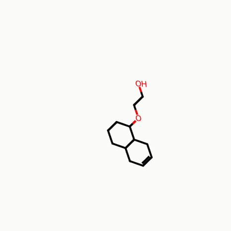 OCCOC1CCCC2CC=CCC21